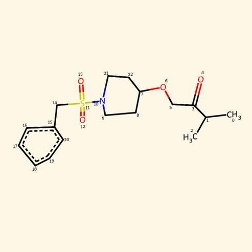 CC(C)C(=O)COC1CCN(S(=O)(=O)Cc2ccccc2)CC1